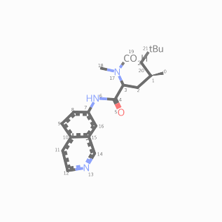 C[C@@H](CC(C(=O)Nc1ccc2ccncc2c1)N(C)C(=O)O)CC(C)(C)C